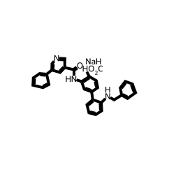 O=C(Nc1cc(-c2ccccc2NCc2ccccc2)ccc1C(=O)O)c1cncc(-c2ccccc2)c1.[NaH]